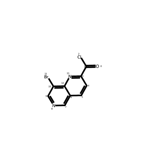 O=C(Cl)c1ccc2cncc(Br)c2n1